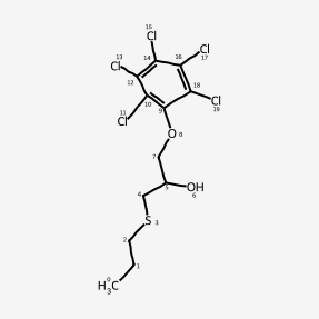 CCCSCC(O)COc1c(Cl)c(Cl)c(Cl)c(Cl)c1Cl